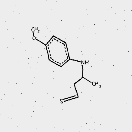 COc1ccc(NC(C)CC=S)cc1